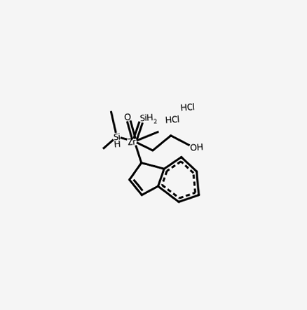 C[SiH](C)[Zr]([CH3])(=[O])(=[SiH2])([CH2]CO)[CH]1C=Cc2ccccc21.Cl.Cl